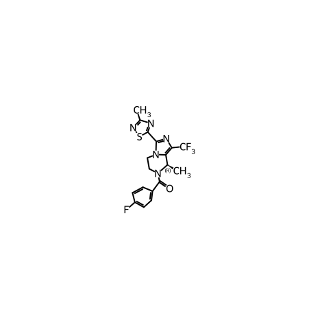 Cc1nsc(-c2nc(C(F)(F)F)c3n2CCN(C(=O)c2ccc(F)cc2)[C@@H]3C)n1